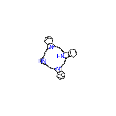 C1=CC2CCC1C1=C2c2cc3[nH]c(cc4nc(cc5ccc(cc1n2)[nH]5)C1=C4C2C=CC1CC2)c1c3C2C=CC1CC2